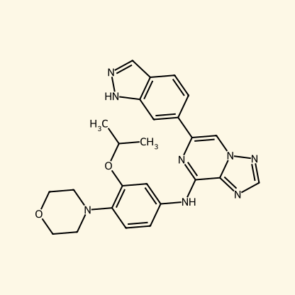 CC(C)Oc1cc(Nc2nc(-c3ccc4cn[nH]c4c3)cn3ncnc23)ccc1N1CCOCC1